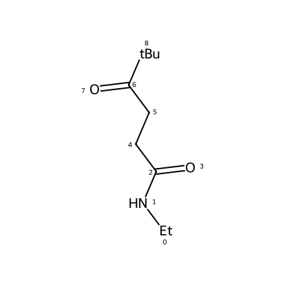 CCNC(=O)CCC(=O)C(C)(C)C